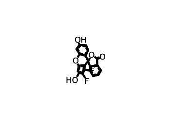 O=C1OC2(c3ccc(O)cc3Oc3cc(O)c(F)c(F)c32)c2ccccc21